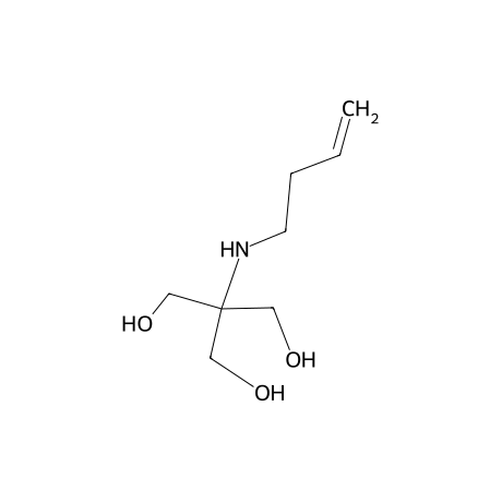 C=CCCNC(CO)(CO)CO